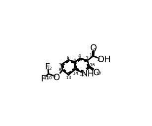 O=C(O)c1cc2ccc(OC(F)F)cc2[nH]c1=O